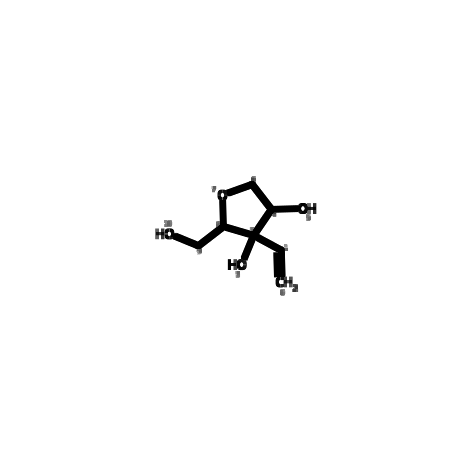 C=CC1(O)C(O)COC1CO